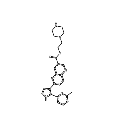 Cc1cccc(-c2[nH]ncc2-c2ccc3ncc(C(=O)OCCN4CCNCC4)cc3n2)n1